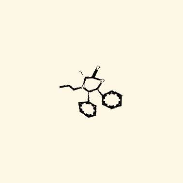 CCCN1[C@H](C)C(=O)O[C@@H](c2ccccc2)[C@H]1c1ccccc1